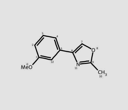 COc1cccc(-c2coc(C)n2)c1